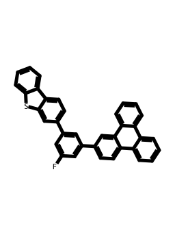 Fc1cc(-c2ccc3c(c2)sc2ccccc23)cc(-c2ccc3c4ccccc4c4ccccc4c3c2)c1